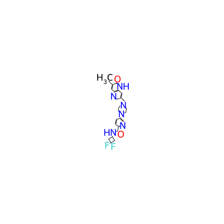 CCc1cc2ncc(CN3CCN(c4ccc(C(=O)NC5CC(F)(F)C5)nc4)CC3)cc2[nH]c1=O